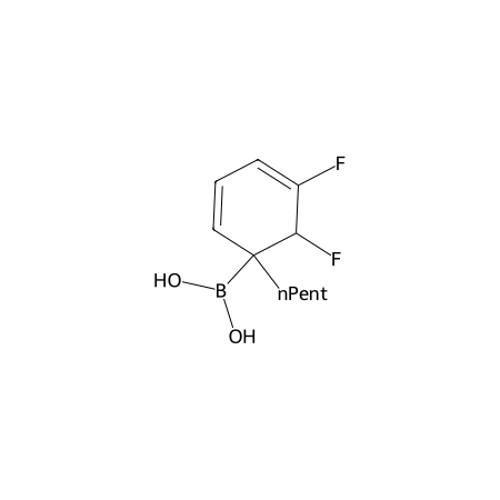 CCCCCC1(B(O)O)C=CC=C(F)C1F